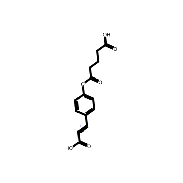 O=C(O)/C=C/c1ccc(OC(=O)CCCC(=O)O)cc1